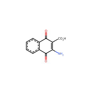 NC1=C(C(=O)O)C(=O)c2ccccc2C1=O